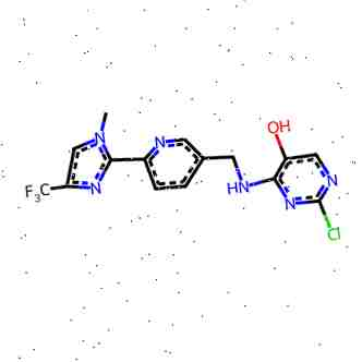 Cn1cc(C(F)(F)F)nc1-c1ccc(CNc2nc(Cl)ncc2O)cn1